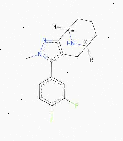 Cn1nc2c(c1-c1ccc(F)c(F)c1)C[C@@H]1CCC[C@H]2N1